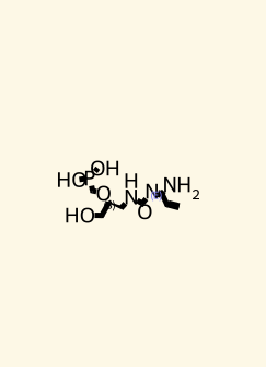 C=C/C(N)=N\C(=O)NC[C@@H](CO)OCP(O)O